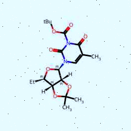 CC[C@H]1O[C@@H](n2cc(C)c(=O)n(C(=O)OC(C)(C)C)c2=O)[C@@H]2OC(C)(C)O[C@@H]21